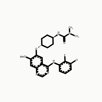 COc1cc2ncnc(Nc3cccc(Cl)c3F)c2cc1O[C@H]1CC[C@H](NC(=O)N(C)C)CC1